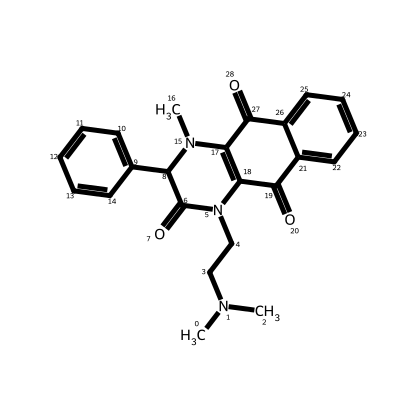 CN(C)CCN1C(=O)C(c2ccccc2)N(C)C2=C1C(=O)c1ccccc1C2=O